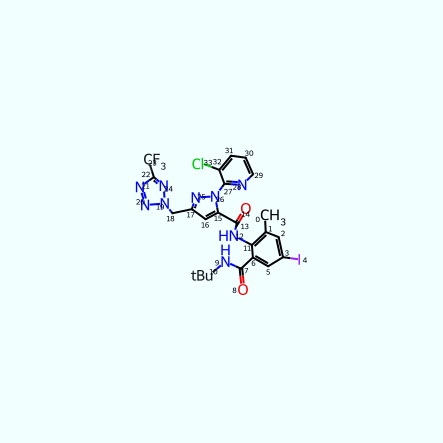 Cc1cc(I)cc(C(=O)NC(C)(C)C)c1NC(=O)c1cc(Cn2nnc(C(F)(F)F)n2)nn1-c1ncccc1Cl